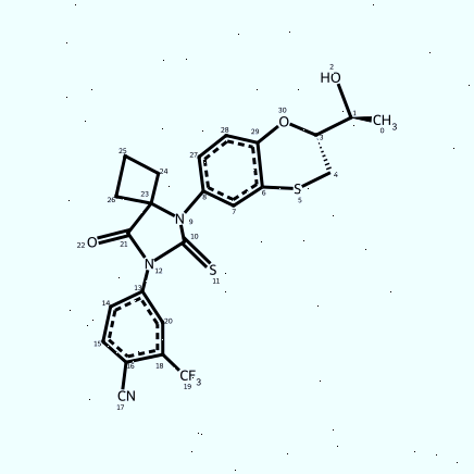 C[C@H](O)[C@@H]1CSc2cc(N3C(=S)N(c4ccc(C#N)c(C(F)(F)F)c4)C(=O)C34CCC4)ccc2O1